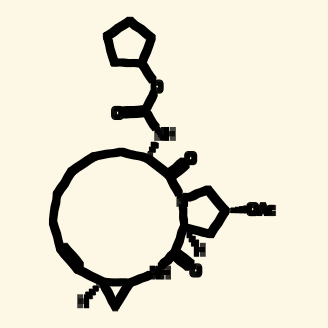 CC(=O)O[C@@H]1C[C@H]2C(=O)NC3C[C@H]3/C=C\CCCCC[C@H](NC(=O)OC3CCCC3)C(=O)N2C1